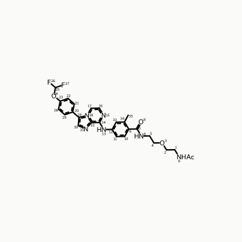 CC(=O)NCCOCCNC(=O)c1ccc(Nc2nccn3c(-c4ccc(OC(F)F)cc4)cnc23)cc1C